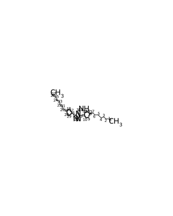 CCCCCCCCc1ccc(-c2nnc(-c3ccc(CCCCCCCC)cc3)n2CN)cc1